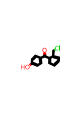 O=C(c1ccc(O)cc1)c1ccccc1CCl